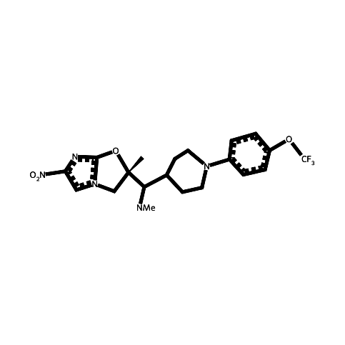 CNC(C1CCN(c2ccc(OC(F)(F)F)cc2)CC1)[C@]1(C)Cn2cc([N+](=O)[O-])nc2O1